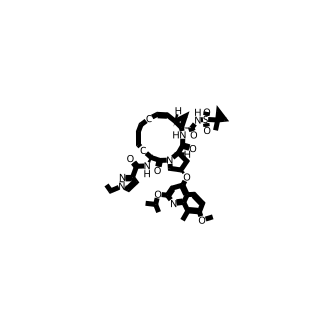 CCn1ccc(C(=O)N[C@H]2CCCCCC=C[C@@H]3C[C@@]3(C(=O)NS(=O)(=O)C3(C)CC3)NC(=O)[C@@H]3C[C@@H](Oc4cc(OC(C)C)nc5c(C)c(OC)ccc45)CN3C2=O)n1